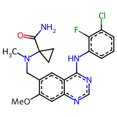 COc1cc2ncnc(Nc3cccc(Cl)c3F)c2cc1CN(C)C1(C(N)=O)CC1